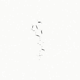 CC(C)(C)OC(=O)N1CC(c2ccc3c(C(=O)O)cnn3c2)C1